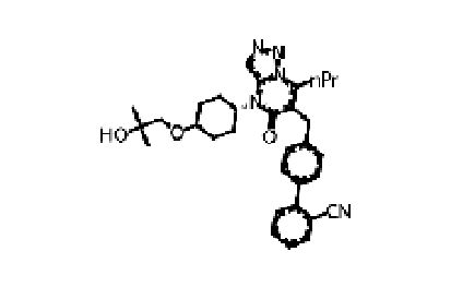 CCCc1c(Cc2ccc(-c3ccccc3C#N)cc2)c(=O)n([C@H]2CC[C@H](OCC(C)(C)O)CC2)c2cnnn12